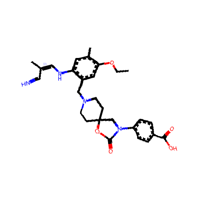 CCOc1cc(CN2CCC3(CC2)CN(c2ccc(C(=O)O)cc2)C(=O)O3)c(N/C=C(/C)C=N)cc1C